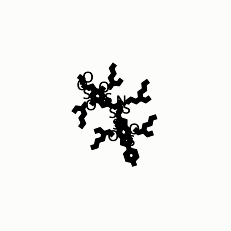 CCCCC(CC)CCc1nc2c(-c3cc4c(OCC(CC)CCCC)c5sc(OC(C)=O)cc5c(OCC(CC)CCCC)c4s3)sc(-c3cc4c(OCC(CC)CCCC)c5sc(-c6ccc(C)cc6)cc5c(OCC(CC)CCCC)c4s3)c2s1